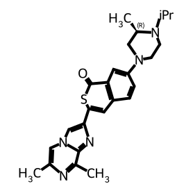 Cc1cn2cc(-c3cc4ccc(N5CCN(C(C)C)[C@H](C)C5)cc4c(=O)s3)nc2c(C)n1